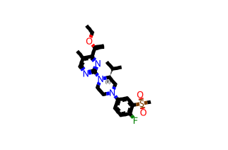 C=C(OCC)c1nc(N2CCN(c3ccc(F)c(S(C)(=O)=O)c3)C[C@H]2C(C)C)ncc1C